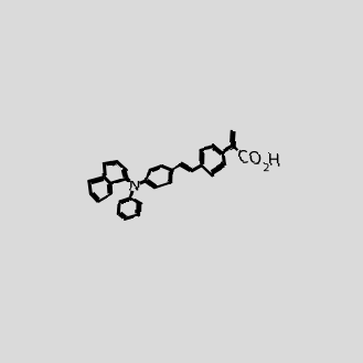 C=C(C(=O)O)c1ccc(C=Cc2ccc(N(c3ccccc3)c3cccc4ccccc34)cc2)cc1